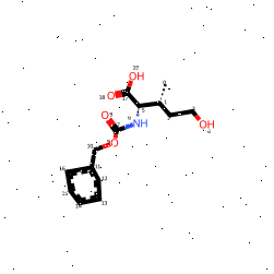 C[C@H](CCO)[C@H](NC(=O)OCc1ccccc1)C(=O)O